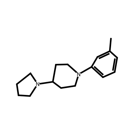 Cc1cccc(N2CCC(N3CCCC3)CC2)c1